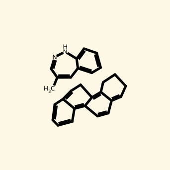 C1=c2ccc3c(c2CCC1)CC=c1ccccc1=3.CC1=Cc2ccccc2NN=C1